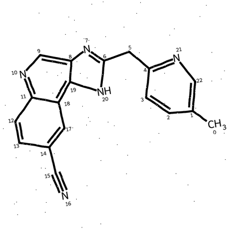 Cc1ccc(Cc2nc3cnc4ccc(C#N)cc4c3[nH]2)nc1